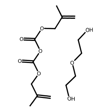 C=C(C)COC(=O)OC(=O)OCC(=C)C.OCCOCCO